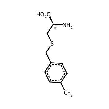 N[C@@H](CSCc1ccc(C(F)(F)F)cc1)C(=O)O